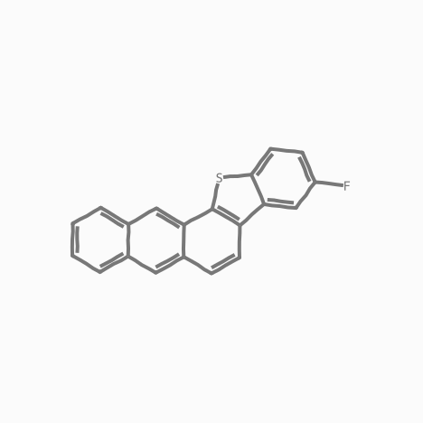 Fc1ccc2sc3c4cc5ccccc5cc4ccc3c2c1